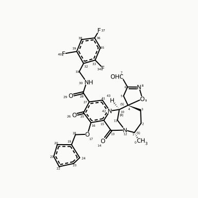 C[C@H]1CC[C@]2(CC(C=O)=NO2)[C@H]2CN1C(=O)c1c(OCc3ccccc3)c(=O)c(C(=O)NCc3c(F)cc(F)cc3F)cn12